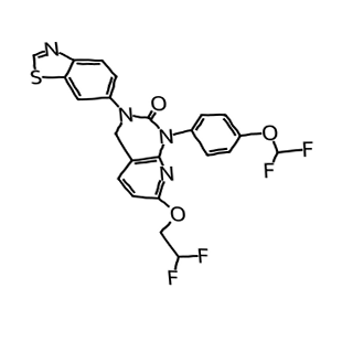 O=C1N(c2ccc3ncsc3c2)Cc2ccc(OCC(F)F)nc2N1c1ccc(OC(F)F)cc1